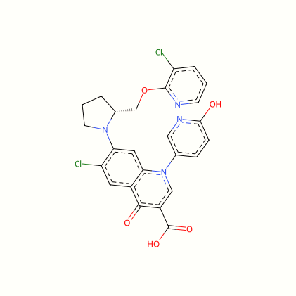 O=C(O)c1cn(-c2ccc(O)nc2)c2cc(N3CCC[C@@H]3COc3ncccc3Cl)c(Cl)cc2c1=O